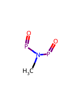 CN(P=O)P=O